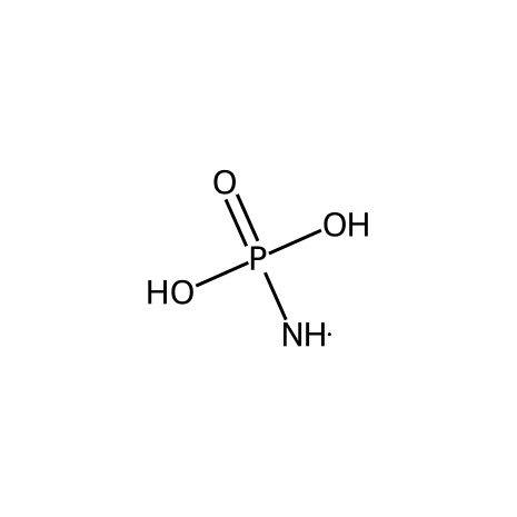 [NH]P(=O)(O)O